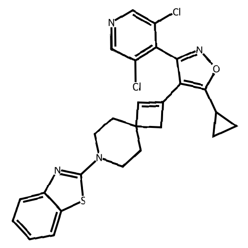 Clc1cncc(Cl)c1-c1noc(C2CC2)c1C1=CC2(CCN(c3nc4ccccc4s3)CC2)C1